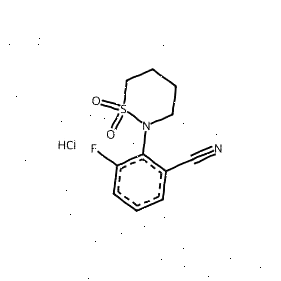 Cl.N#Cc1cccc(F)c1N1CCCCS1(=O)=O